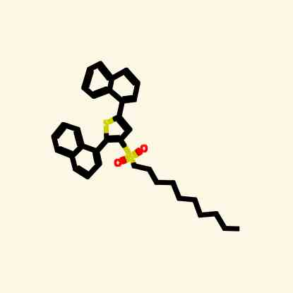 CCCCCCCCCCS(=O)(=O)c1cc(-c2cccc3ccccc23)sc1-c1cccc2ccccc12